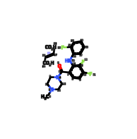 CN1CCN(C(=O)c2ccc(F)c(F)c2Nc2ccccc2F)CC1.O=C(O)/C=C/C(=O)O